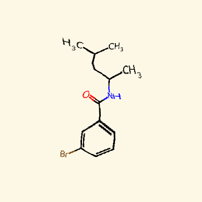 CC(C)CC(C)NC(=O)c1cccc(Br)c1